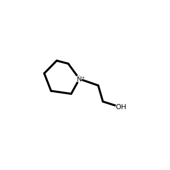 OCC[N+]1CCCCC1